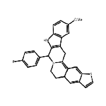 COc1ccc2[nH]c3c(c2c1)CC1=C2C=c4sccc4=CC2CCN1C3c1ccc(F)cc1